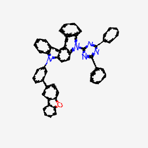 c1ccc(-c2nc(-c3ccccc3)nc(-n3c4ccccc4c4c5c6ccccc6n(-c6cccc(-c7ccc8oc9ccccc9c8c7)c6)c5ccc43)n2)cc1